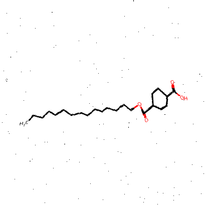 CCCCCCCCCCCCCCCOC(=O)C1CCC(C(=O)O)CC1